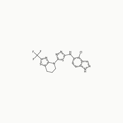 FC(F)(F)c1nc2c(s1)CCCN2c1nnc(Nc2ccc3[nH]ncc3c2Cl)s1